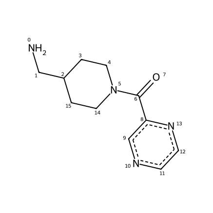 NCC1CCN(C(=O)c2cnccn2)CC1